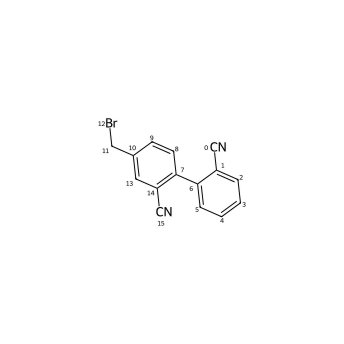 N#Cc1ccccc1-c1ccc(CBr)cc1C#N